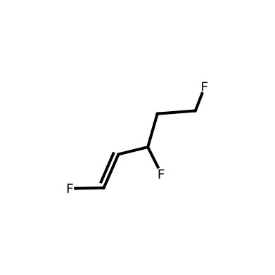 FC=CC(F)CCF